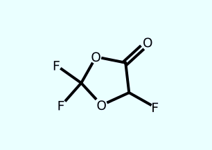 O=C1OC(F)(F)OC1F